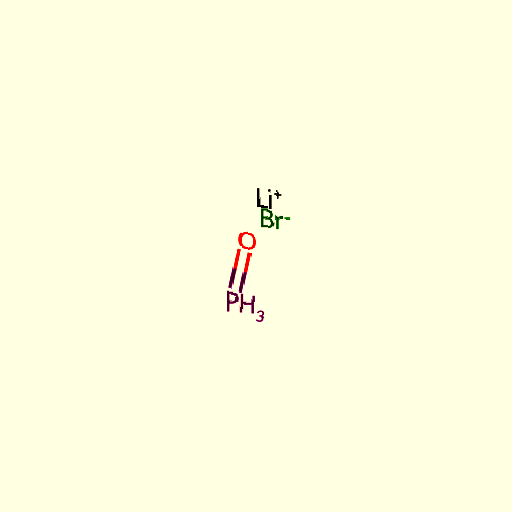 O=[PH3].[Br-].[Li+]